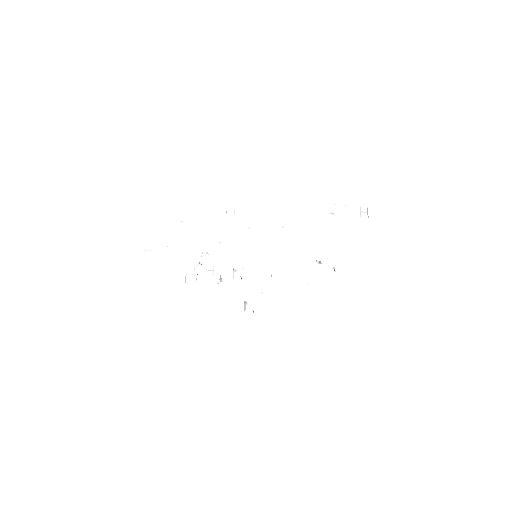 Cc1ccc(OCCCCCC(=O)O)c(Cn2c(C)cnc2-c2ccc(OC(F)(F)F)cc2)c1C